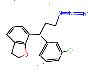 [N-]=[N+]=NCCC(c1cccc(Cl)c1)c1cccc2c1OCC2